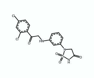 O=C1CN(c2cccc(NCC(=O)c3ccc(Cl)cc3Cl)c2)S(=O)(=O)N1